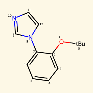 CC(C)(C)Oc1ccccc1-n1[c]ncc1